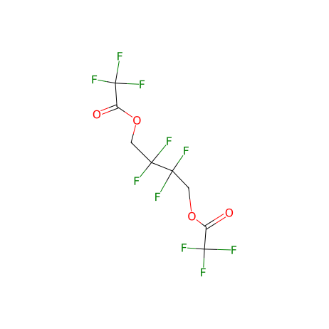 O=C(OCC(F)(F)C(F)(F)COC(=O)C(F)(F)F)C(F)(F)F